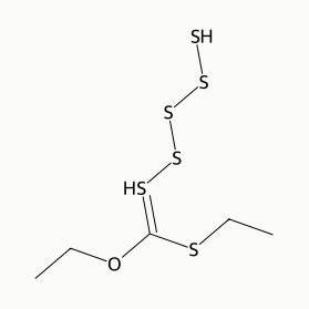 CCOC(SCC)=[SH]SSSS